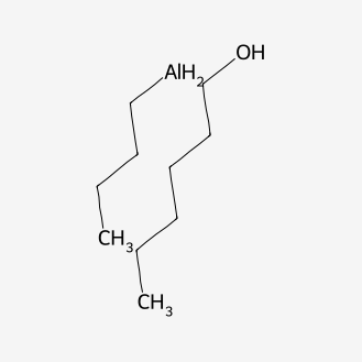 CCCCCCO.CCC[CH2][AlH2]